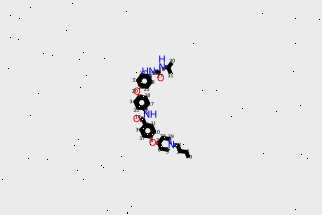 CCCCN1CCC(Oc2ccc(C(=O)Nc3ccc(Oc4ccc(NC(=O)NC(C)C)cc4)cc3)cc2)CC1